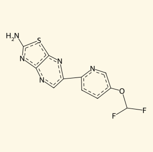 Nc1nc2ncc(-c3ccc(OC(F)F)cn3)nc2s1